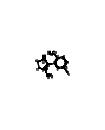 Cc1ccc(I)cc1C1=[N+](C)CCN1